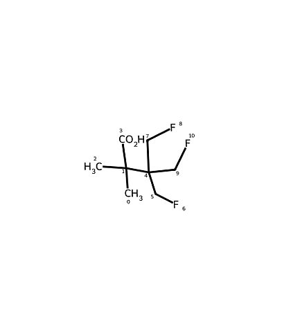 CC(C)(C(=O)O)C(CF)(CF)CF